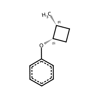 C[C@@H]1CC[C@@H]1Oc1ccccc1